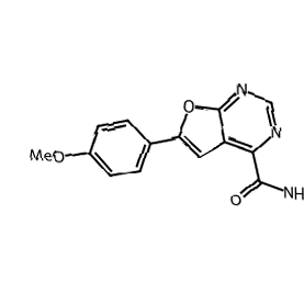 COc1ccc(-c2cc3c(C(N)=O)ncnc3o2)cc1